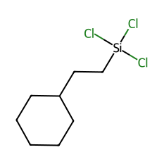 Cl[Si](Cl)(Cl)CCC1CCCCC1